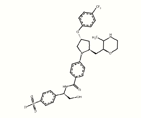 CCS(=O)(=O)c1ccc([C@H](CO)NC(=O)c2ccc(N3C[C@H](Oc4ccc(C(F)(F)F)cc4)C[C@H]3CC3OCCNC3C)cc2)cc1